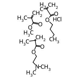 C=C(C)C(=O)OC.C=C(C)C(=O)OCCCC.C=C(C)C(=O)OCCN(C)C.Cl